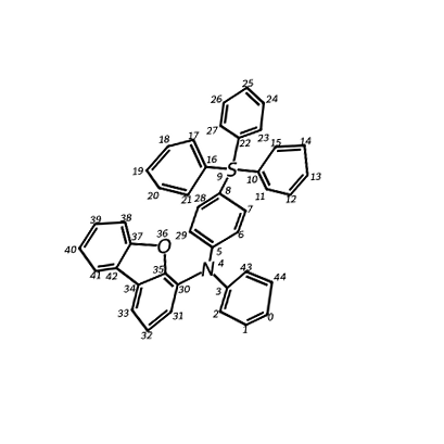 c1ccc(N(c2ccc(S(c3ccccc3)(c3ccccc3)c3ccccc3)cc2)c2cccc3c2oc2ccccc23)cc1